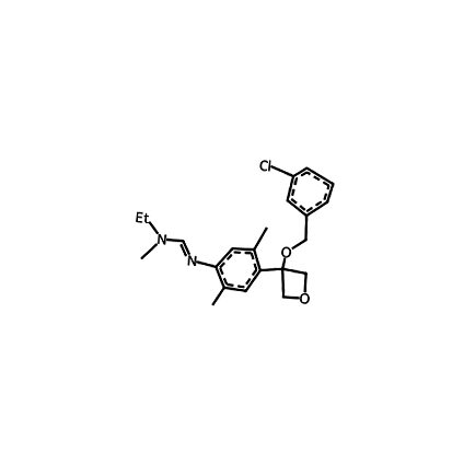 CCN(C)C=Nc1cc(C)c(C2(OCc3cccc(Cl)c3)COC2)cc1C